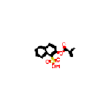 C=C(C)C(=O)Oc1ccc2ccccc2c1S(=O)(=O)O